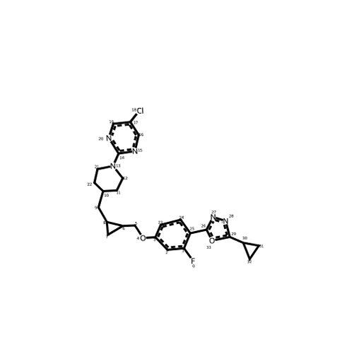 Fc1cc(OCC2CC2CC2CCN(c3ncc(Cl)cn3)CC2)ccc1-c1nnc(C2CC2)o1